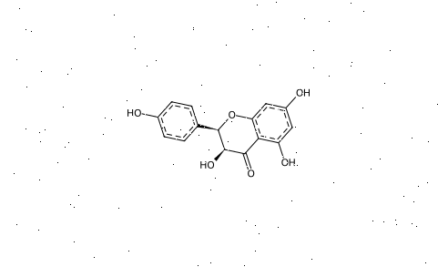 O=C1c2c(O)cc(O)cc2O[C@H](c2ccc(O)cc2)[C@@H]1O